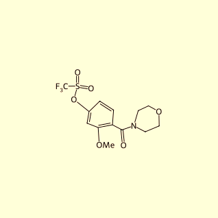 COc1cc(OS(=O)(=O)C(F)(F)F)ccc1C(=O)N1CCOCC1